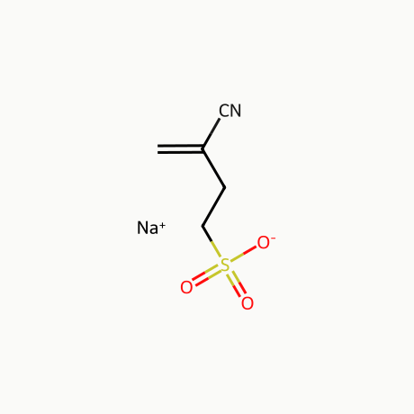 C=C(C#N)CCS(=O)(=O)[O-].[Na+]